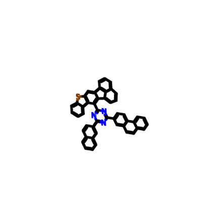 c1ccc2cc(-c3nc(-c4ccc5c(ccc6ccccc65)c4)nc(-c4c5c(cc6sc7ccccc7c46)-c4cccc6cccc-5c46)n3)ccc2c1